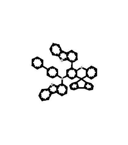 c1ccc(-c2ccc(N(c3cc(-c4cccc5c4oc4ccccc45)c4c(c3)C3(c5ccccc5S4)c4ccccc4-c4ccccc43)c3cccc4c3sc3ccccc34)cc2)cc1